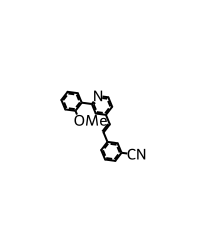 COc1ccccc1-c1cc(C=Cc2cccc(C#N)c2)ccn1